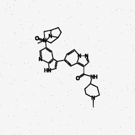 CN1CCC(NC(=O)c2cnn3ccc(-c4c[nH]c5ncc(C(=O)N6C7CCC6CN(C)C7)cc45)cc23)CC1